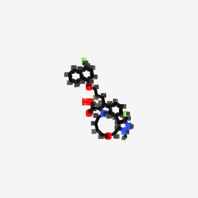 Cc1nn(C)c2c1-c1c(F)ccc3c(CCCOc4ccc(F)c5ccccc45)c(C(=O)O)n(c13)CCCCOC2